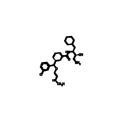 NC[C@@H](O)[C@H](CC1CCCCC1)NC(=O)N1CCC[C@@H]([C@@H](OCCNC(=O)O)c2cccc(Cl)c2)C1